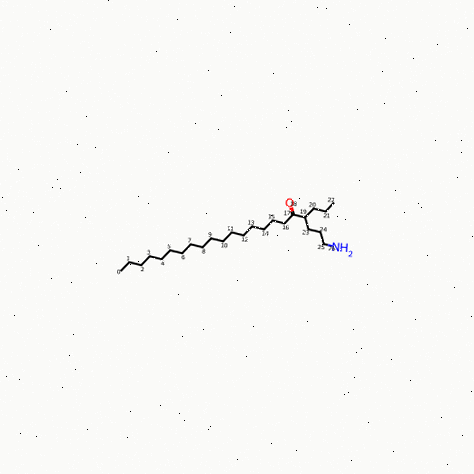 CCCCCCCCCCCCCCCCCC(=O)C(CCC)CCCN